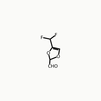 O=CC1OC=C(C(F)F)O1